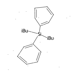 CCC(C)[Si](c1ccccc1)(c1ccccc1)C(C)CC